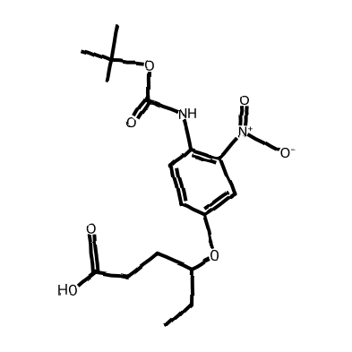 CCC(CCC(=O)O)Oc1ccc(NC(=O)OC(C)(C)C)c([N+](=O)[O-])c1